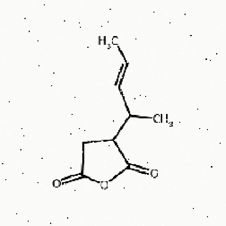 C/C=C/C(C)C1CC(=O)OC1=O